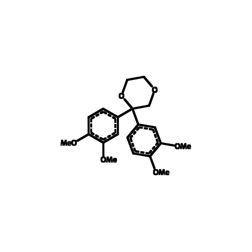 COc1ccc(C2(c3ccc(OC)c(OC)c3)COCCO2)cc1OC